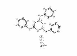 [Cl-].[Cl-].[Cl-].[Cr+3].c1ccc(CN2CN(Cc3ccccc3)CN(Cc3ccccc3)C2)cc1